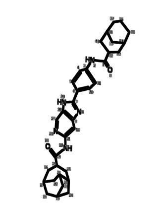 O=C(Nc1ccc(-c2nc3cc(NC(=O)C4CC5CC6CC(C5)C(C6)C4)ncc3[nH]2)cc1)C1CC2CCCC(C2)C1